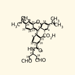 CN(C)c1ccc2c(-c3ccc(C(=O)NC(CC=O)CC=O)cc3C(=O)O)c3ccc(=[N+](C)C)cc-3oc2c1